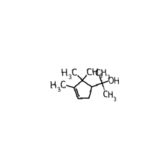 CC1=CCC(C(C)(C)O)C1(C)C